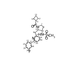 CS(=O)(=O)NC1CCN(C(=O)C2CCC2)C1Cc1cccc(-c2cccc(F)c2)n1